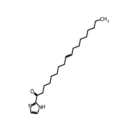 CCCCCCCCC=CCCCCCCCC(=O)c1ncc[nH]1